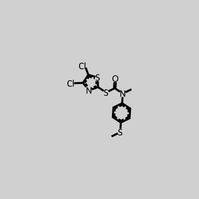 CSc1ccc(N(C)C(=O)Sc2nc(Cl)c(Cl)s2)cc1